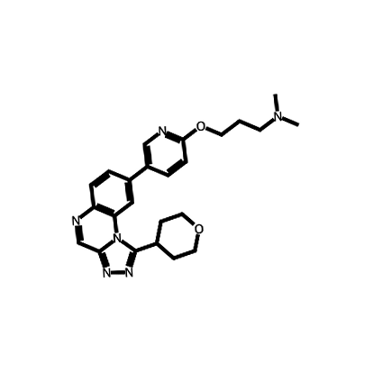 CN(C)CCCOc1ccc(-c2ccc3ncc4nnc(C5CCOCC5)n4c3c2)cn1